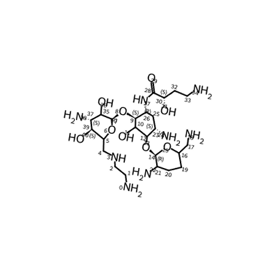 NCCNCC1O[C@H](O[C@@H]2C(O)C(O[C@H]3OC(CN)CCC3N)[C@@H](N)C[C@H]2NC(=O)[C@@H](O)CCN)C(O)[C@@H](N)[C@@H]1O